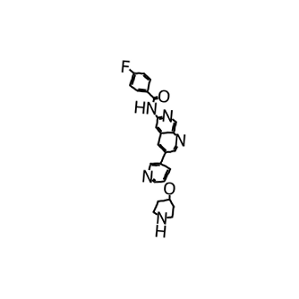 O=C(Nc1cc2cc(-c3cncc(OC4CCNCC4)c3)cnc2cn1)c1ccc(F)cc1